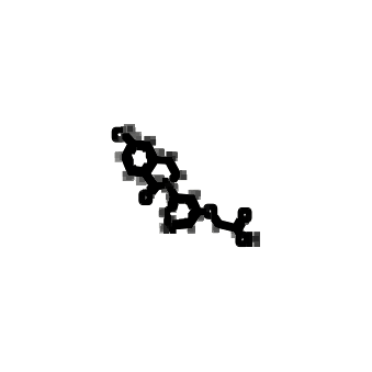 O=C(O)COc1cncc(N2CCc3cc(Cl)ccc3C2=O)c1